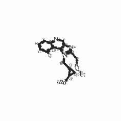 CCOCc1nc2cnc3ccccc3c2n1C[C]1CC1C(C)(C)C